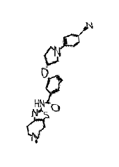 CN1CCc2nc(NC(=O)c3cccc(O[C@@H]4CCN(c5ccc(C#N)cc5)C4)c3)sc2C1